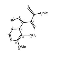 COC(=O)C(=O)c1c[nH]c2ccc(OC)c([N+](=O)[O-])c12